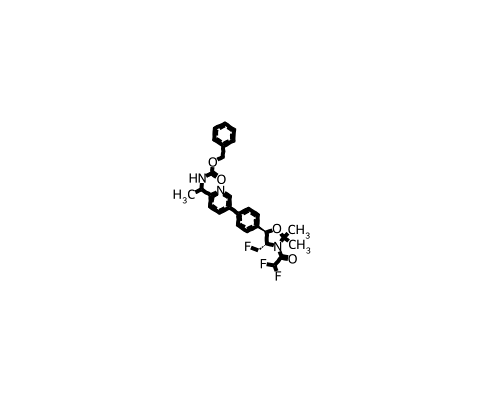 CC(NC(=O)OCc1ccccc1)c1ccc(-c2ccc([C@H]3OC(C)(C)N(C(=O)C(F)F)[C@@H]3CF)cc2)cn1